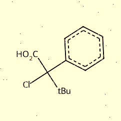 CC(C)(C)C(Cl)(C(=O)O)c1ccccc1